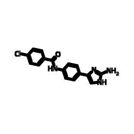 Nc1nc(-c2ccc(NC(=O)c3ccc(Cl)cc3)cc2)c[nH]1